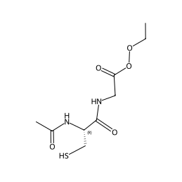 CCOOC(=O)CNC(=O)[C@H](CS)NC(C)=O